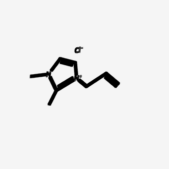 C=CC[n+]1ccn(C)c1C.[Cl-]